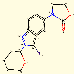 O=C1OCCN1c1ccc2nn(C3CCCCO3)c(I)c2c1